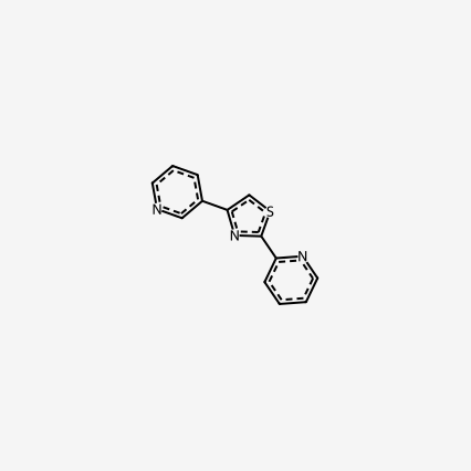 c1ccc(-c2nc(-c3cccnc3)cs2)nc1